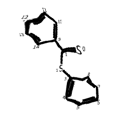 S=C(Sc1ccccc1)c1cc[c]cc1